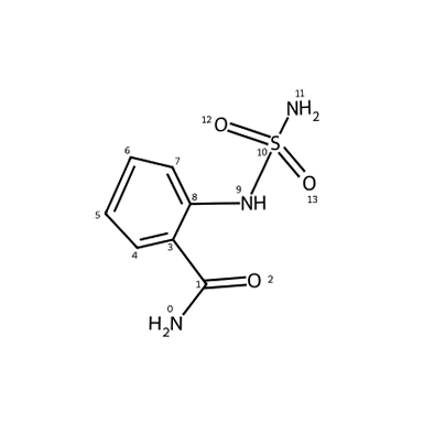 NC(=O)c1ccccc1NS(N)(=O)=O